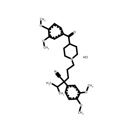 COc1ccc(C(=O)C2CCN(CCCC(C#N)(c3ccc(OC)c(OC)c3)C(C)C)CC2)cc1OC.Cl